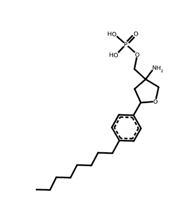 CCCCCCCCc1ccc(C2CC(N)(COP(=O)(O)O)CO2)cc1